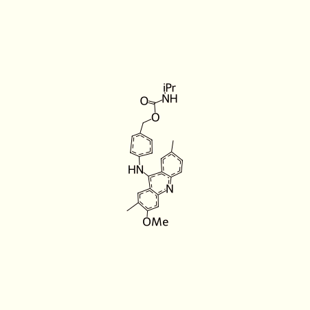 COc1cc2nc3ccc(C)cc3c(Nc3ccc(COC(=O)NC(C)C)cc3)c2cc1C